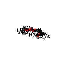 CCC[C@H](I)N(Cc1nc2ccc3cc4c(cc3c2[nH]1)OCc1cc(-c2cnc([C@@H]3CC[C@H](C)N3C(=O)[C@@H](NC(=O)OC)C3C[C@@H](C)O[C@H](C)C3)[nH]2)ccc1-4)C(=O)[C@@H](NC(=O)OC)C1C[C@@H](C)O[C@H](C)C1